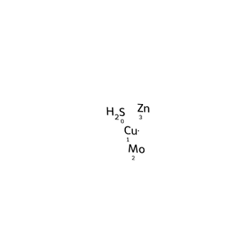 S.[Cu].[Mo].[Zn]